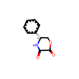 O=C1N[C@H](c2ccccc2)COC1=O